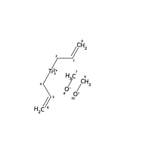 C=C[CH2][Ti+2][CH2]C=C.C[O-].C[O-]